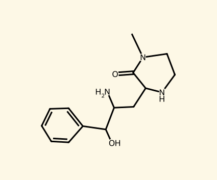 CN1CCNC(CC(N)C(O)c2ccccc2)C1=O